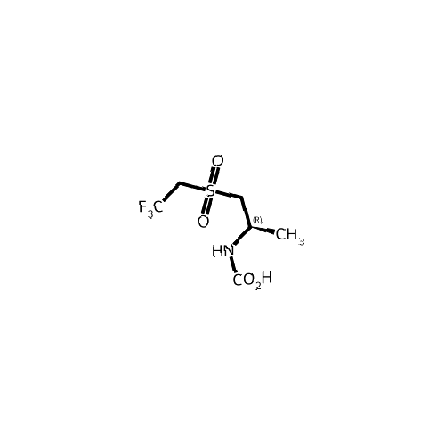 C[C@H](CS(=O)(=O)CC(F)(F)F)NC(=O)O